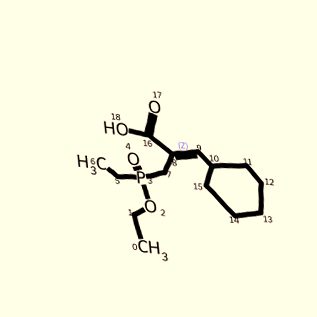 CCOP(=O)(CC)C/C(=C\C1CCCCC1)C(=O)O